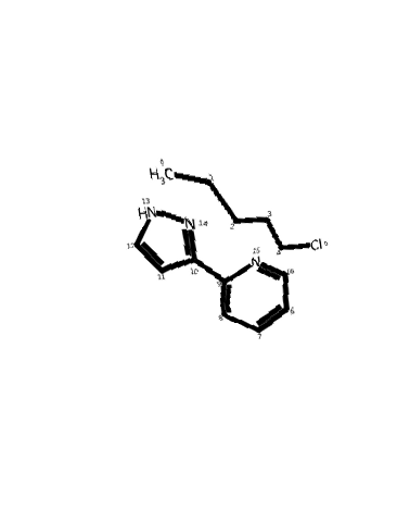 CCCCCCl.c1ccc(-c2cc[nH]n2)nc1